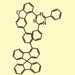 c1ccc(-c2nc(-c3ccccc3)nc(-c3cccc4oc5ccc(-c6ccc(-c7cccc8c7-c7ccccc7C87c8ccccc8-c8ccccc87)cc6)cc5c34)n2)cc1